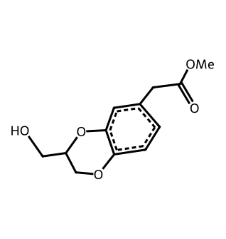 COC(=O)Cc1ccc2c(c1)OC(CO)CO2